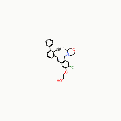 N#Cc1c(/C=C/c2cc(OCCO)c(Cl)cc2CN2CCOCC2C=O)cccc1-c1ccccc1